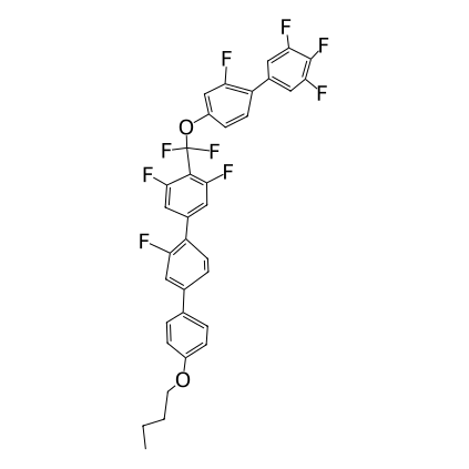 CCCCOc1ccc(-c2ccc(-c3cc(F)c(C(F)(F)Oc4ccc(-c5cc(F)c(F)c(F)c5)c(F)c4)c(F)c3)c(F)c2)cc1